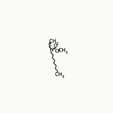 C=C=CN(CCCCCCCCC)C(=O)OC